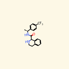 C[C@H](NC(=O)C1NCCc2ccccc21)c1ccc(C(F)(F)F)cc1